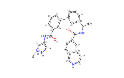 CCC(NC(=O)c1ccc2cnccc2c1)c1cccc(-c2cccc(C(=O)Nc3cnn(C)c3)c2)c1